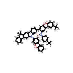 CC(C)(C)c1ccc(N2B3c4cc5c(cc4-n4c6cc7c(cc6c6ccc(c3c64)-c3cc4oc6ccc(C(C)(C)C)cc6c4cc32)C(C)(C)c2ccccc2-7)oc2ccccc25)cc1